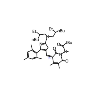 CCCCC(CC)CN(CC(CC)CCCC)C1=NC(c2c(C)cc(C)cc2C)=C(/C=C2\C(=O)N(N(C)C(=O)C(C)(C)C)C(=O)C(C)=C2C)C1